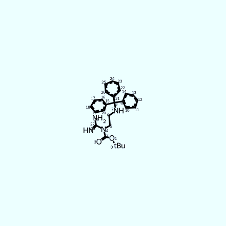 CC(C)(C)OC(=O)N(CCNC(c1ccccc1)(c1ccccc1)c1ccccc1)C(=N)N